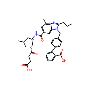 CCCc1nc2c(C)cc(C(=O)N[C@@H](CSC(=O)CCC(=O)O)CC(C)C)cc2n1Cc1ccc(-c2ccccc2C(=O)O)cc1